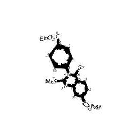 CCOC(=O)c1ccc(-n2c(SC)nc3cc(OC)ccc3c2=O)cc1